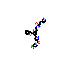 O=C(/C=C/c1cccnc1)NCc1cc2cc(-c3ccc(C(=O)N4CCC(F)(F)CC4)cn3)cc(-c3cc4ccccc4o3)c2o1